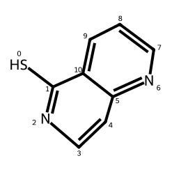 Sc1nccc2ncccc12